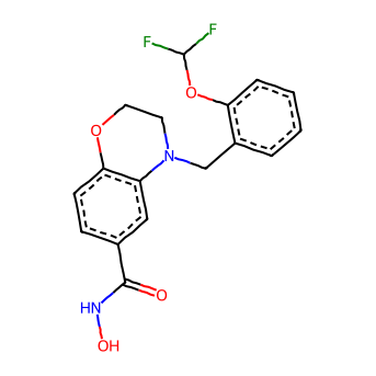 O=C(NO)c1ccc2c(c1)N(Cc1ccccc1OC(F)F)CCO2